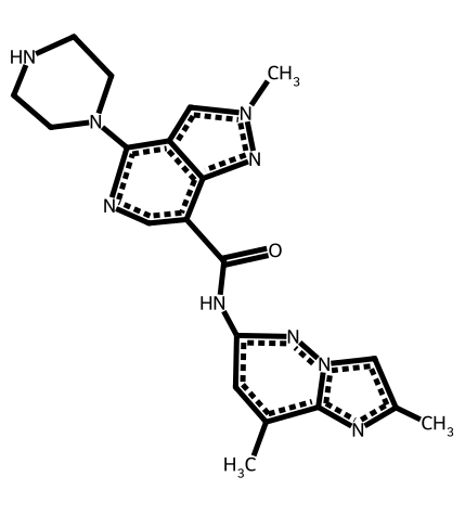 Cc1cn2nc(NC(=O)c3cnc(N4CCNCC4)c4cn(C)nc34)cc(C)c2n1